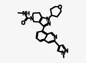 CNC(=O)N1CCc2c(c(-c3cccc4cc(-c5cnn(C)c5)ncc34)nn2C2CCOCC2)C1